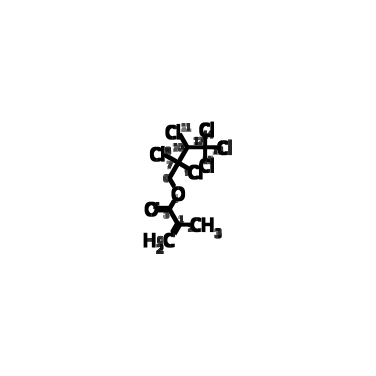 C=C(C)C(=O)OCC(Cl)(Cl)C(Cl)C(Cl)(Cl)Cl